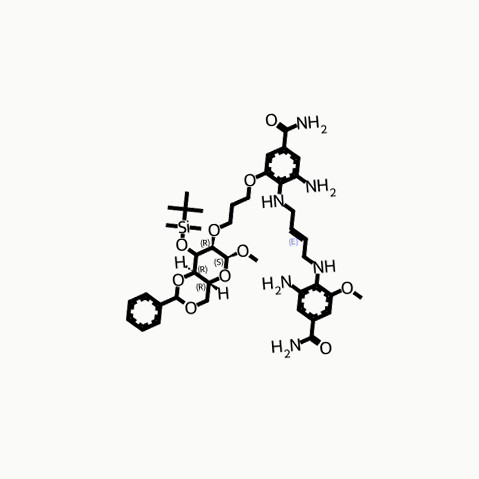 COc1cc(C(N)=O)cc(N)c1NC/C=C/CNc1c(N)cc(C(N)=O)cc1OCCCO[C@@H]1C(O[Si](C)(C)C(C)(C)C)[C@@H]2OC(c3ccccc3)OC[C@H]2O[C@@H]1OC